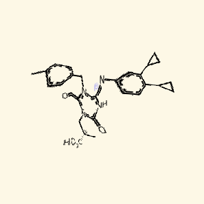 Cc1ccc(Cn2c(=O)n(C[C@H](C)C(=O)O)c(=O)[nH]/c2=N\c2ccc(C3CC3)c(C3CC3)c2)cc1